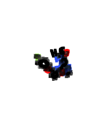 CC(=O)Nc1ccc(-n2nccn2)c(C(=O)N[C@H]2CCC[C@@H]2COc2ccc(F)cc2)n1